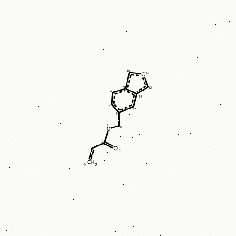 C=CC(=O)OCc1ccc2cocc2c1